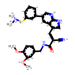 COc1ccc(CNC(=O)/C(C#N)=C/c2c[nH]c3ncc(-c4cccc(SN(C)C)c4)cc23)cc1OC